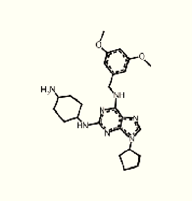 COc1cc(CNc2nc(NC3CCC(N)CC3)nc3c2ncn3C2CCCC2)cc(OC)c1